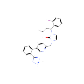 CCCC(c1ccccc1I)n1ccn(Cc2ccc(-c3ccccc3-c3nnn[nH]3)cn2)c1=O